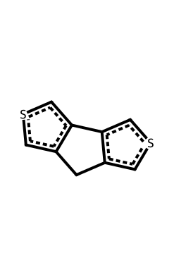 c1scc2c1Cc1cscc1-2